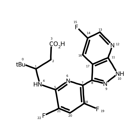 CC(C)(C)C(CC(=O)O)Nc1nc(-c2n[nH]c3ncc(F)cc23)c(F)cc1F